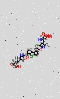 COc1nc(O[C@H]2CCc3c(-c4cccc(C(=O)Nc5ccc(CN[C@](C)(CO)C(=O)O)cn5)c4Cl)cccc32)c(Cl)cc1CN[C@](C)(CO)C(=O)O